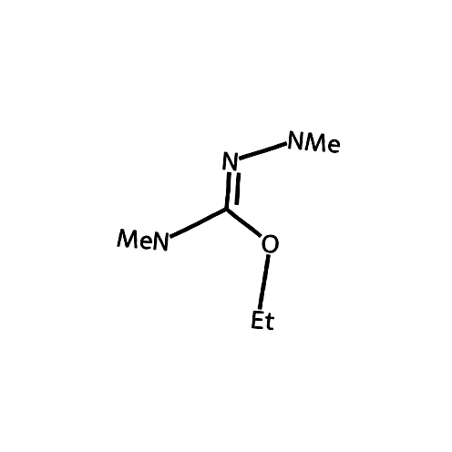 CCO/C(=N\NC)NC